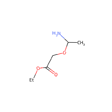 CCOC(=O)COC(C)N